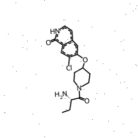 CC[C@H](N)C(=O)N1CCC(Oc2cc3cc[nH]c(=O)c3cc2Cl)CC1